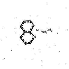 N.N.O.c1cnc2ncccc2c1